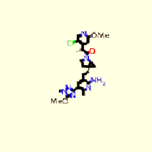 COc1cc([C@@H](C)C(=O)N2CC[C@]3(CCc4cc(-c5nc(OC)n(C)n5)c(C)nc4N)CC23)c(Cl)cn1